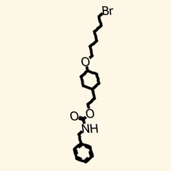 O=C(NCc1ccccc1)OCCC1CCC(OCCCCCCBr)CC1